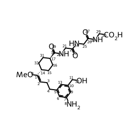 CO/C(=C/CCc1cc(N)cc(CO)c1)[C@H]1CC[C@H](C(=O)NCC(=O)NCC(=O)NCC(=O)O)CC1